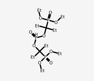 CCOP(=O)(OCC)C(CC)(CC)O[PH](=O)OC(CC)(CC)P(=O)(OCC)OCC